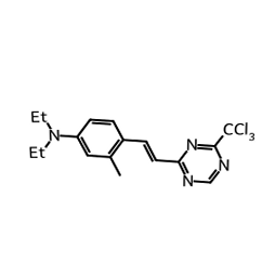 CCN(CC)c1ccc(C=Cc2ncnc(C(Cl)(Cl)Cl)n2)c(C)c1